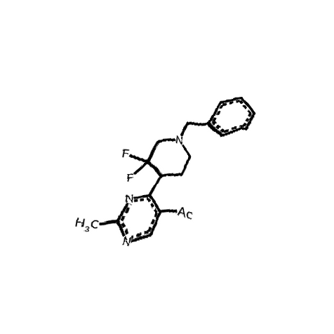 CC(=O)c1cnc(C)nc1C1CCN(Cc2ccccc2)CC1(F)F